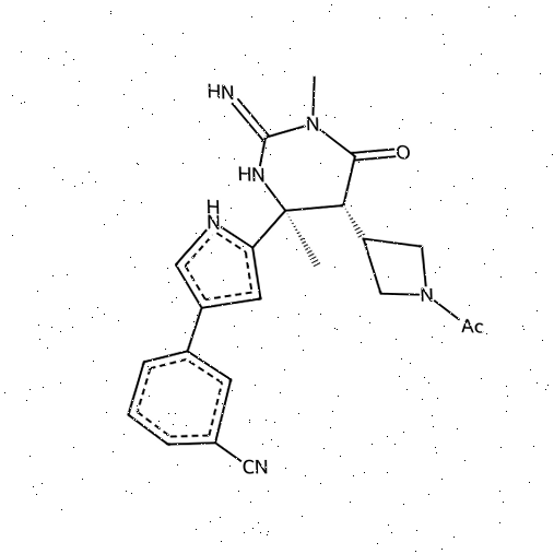 CC(=O)N1CC([C@H]2C(=O)N(C)C(=N)N[C@]2(C)c2cc(-c3cccc(C#N)c3)c[nH]2)C1